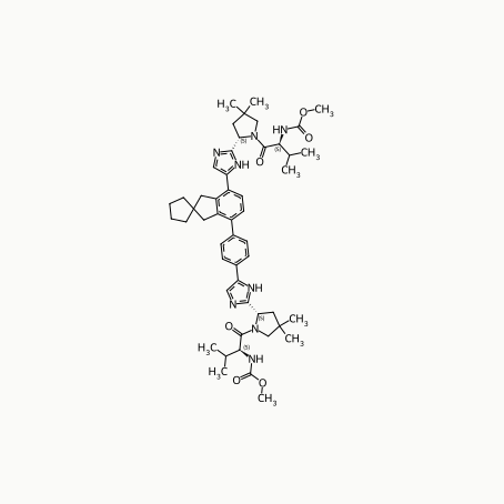 COC(=O)N[C@H](C(=O)N1CC(C)(C)C[C@H]1c1ncc(-c2ccc(-c3ccc(-c4cnc([C@@H]5CC(C)(C)CN5C(=O)[C@@H](NC(=O)OC)C(C)C)[nH]4)c4c3CC3(CCCC3)C4)cc2)[nH]1)C(C)C